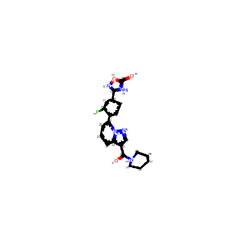 O=C(c1cnn2c(-c3ccc(-c4noc(=O)[nH]4)cc3F)cccc12)N1CCCCC1